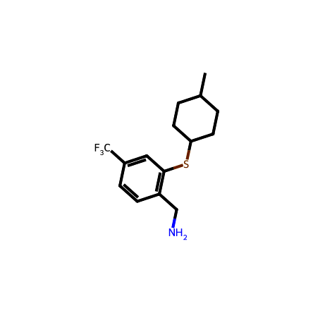 CC1CCC(Sc2cc(C(F)(F)F)ccc2CN)CC1